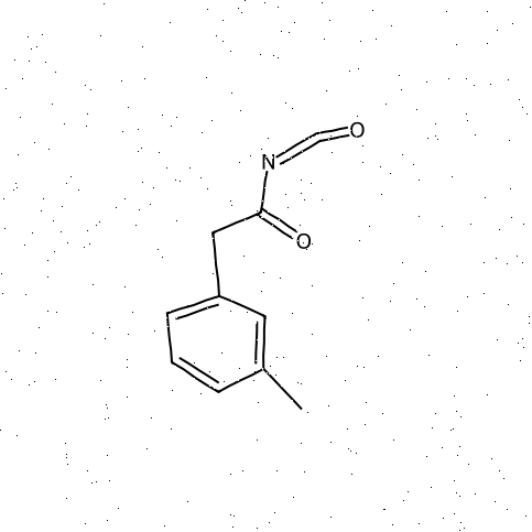 Cc1cccc(CC(=O)N=C=O)c1